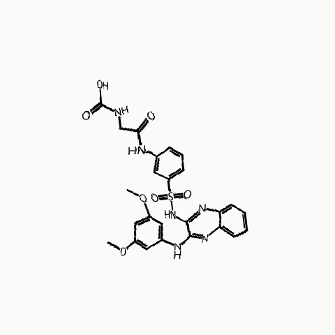 COc1cc(Nc2nc3ccccc3nc2NS(=O)(=O)c2cccc(NC(=O)CNC(=O)O)c2)cc(OC)c1